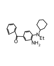 CCN(c1ccc(C(=O)c2ccccc2)cc1N)C1CCCCC1